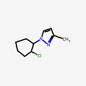 Cc1ccn(C2CCCCC2Cl)n1